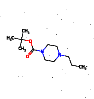 [CH2]CCN1CCN(C(=O)OC(C)(C)C)CC1